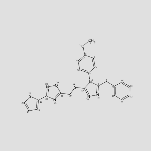 COc1ccc(-n2c(Cc3ccccc3)nnc2SCc2nc(-c3cccs3)no2)cc1